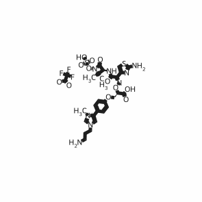 C[n+]1cn(CCCN)cc1-c1ccc(OC[C@H](O/N=C(\C(=O)N[C@@H]2C(=O)N(OS(=O)(=O)O)C2(C)C)c2csc(N)n2)C(=O)O)cc1.O=C([O-])C(F)(F)F